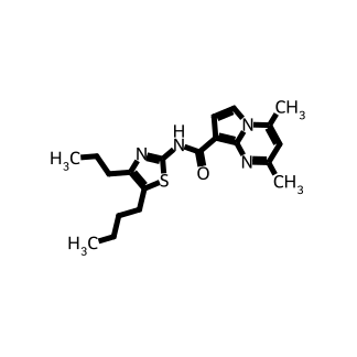 CCCCc1sc(NC(=O)c2ccn3c(C)cc(C)nc23)nc1CCC